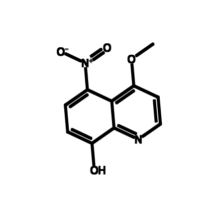 COc1ccnc2c(O)ccc([N+](=O)[O-])c12